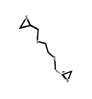 C(CSC[C@@H]1CS1)SCC1CS1